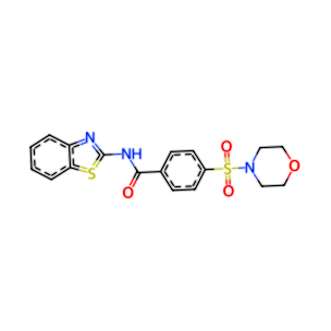 O=C(Nc1nc2ccccc2s1)c1ccc(S(=O)(=O)N2CCOCC2)cc1